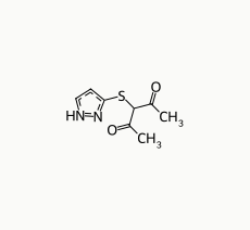 CC(=O)C(Sc1cc[nH]n1)C(C)=O